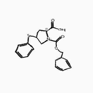 O=C(O)[C@@H]1CC(Sc2ccccc2)CN1C(=O)OCc1ccccc1